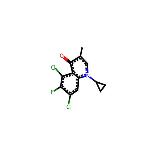 Cc1cn(C2CC2)c2cc(Cl)c(F)c(Cl)c2c1=O